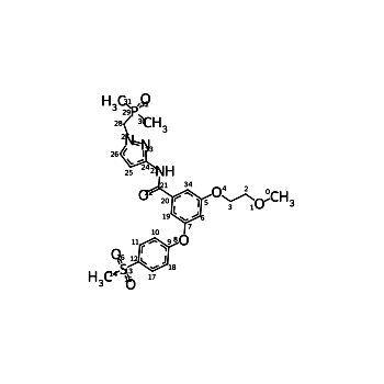 COCCOc1cc(Oc2ccc(S(C)(=O)=O)cc2)cc(C(=O)Nc2ccn(CP(C)(C)=O)n2)c1